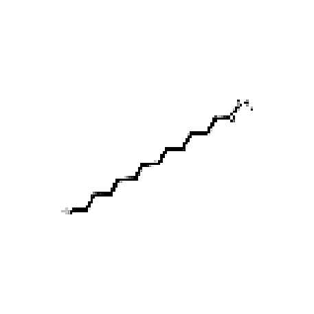 NOCCCCCCCCCCCCS